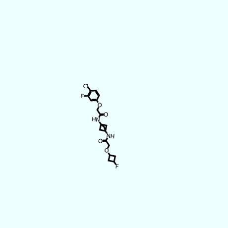 O=C(COc1ccc(Cl)c(F)c1)NC12CC(NC(=O)COC3CC(F)C3)(C1)C2